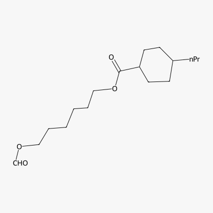 CCCC1CCC(C(=O)OCCCCCCOC=O)CC1